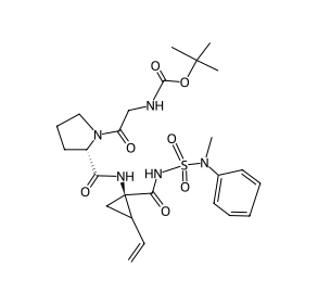 C=CC1C[C@]1(NC(=O)[C@@H]1CCCN1C(=O)CNC(=O)OC(C)(C)C)C(=O)NS(=O)(=O)N(C)c1ccccc1